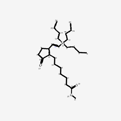 CCC[CH2][Sn](/[CH]=C/C1CCC(=O)C1CCCCCCC(=O)OC)([CH2]CCC)[CH2]CCC